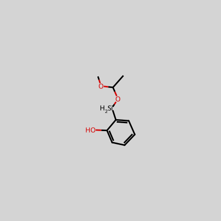 COC(C)O[SiH2]c1ccccc1O